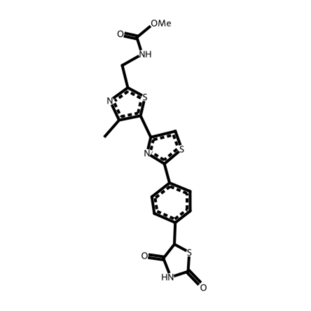 COC(=O)NCc1nc(C)c(-c2csc(-c3ccc(C4SC(=O)NC4=O)cc3)n2)s1